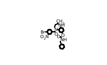 CC1CCN(C(=O)c2ccc(Br)c([N+](=O)[O-])c2)c2cc(OC(=O)NCc3ccccc3)ccc2N1